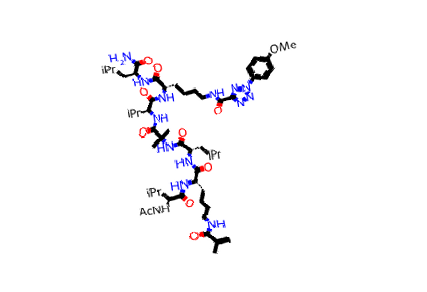 C=C(C)C(=O)NCCCC[C@H](NC(=O)[C@@H](NC(C)=O)C(C)C)C(=O)N[C@@H](CC(C)C)C(=O)NC(C)(C)C(=O)N[C@H](C(=O)N[C@@H](CCCCNC(=O)c1nnn(-c2ccc(OC)cc2)n1)C(=O)N[C@@H](CC(C)C)C(N)=O)C(C)C